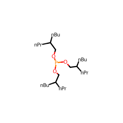 CCCCC(CCC)COP(OCC(CCC)CCCC)OCC(CCC)CCCC